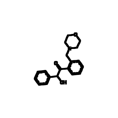 O=C(c1ccccc1CN1CCOCC1)C(O)c1ccccc1